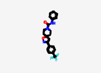 O=C(Nc1ccccc1)N1CCC2(CC1)CC(c1ccc(C(F)(F)F)cc1)=NO2